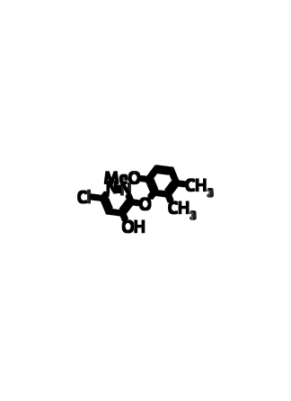 COc1ccc(C)c(C)c1Oc1nnc(Cl)cc1O